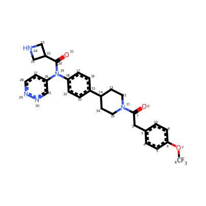 O=C(Cc1ccc(OC(F)(F)F)cc1)N1CCC(c2ccc(N(C(=O)C3CNC3)c3ccnnc3)cc2)CC1